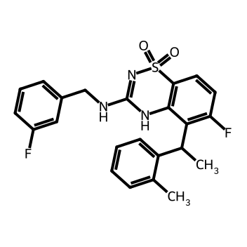 Cc1ccccc1C(C)c1c(F)ccc2c1NC(NCc1cccc(F)c1)=NS2(=O)=O